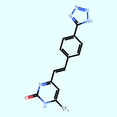 O=c1nc(C=Cc2ccc(-c3nnn[nH]3)cc2)cc(C(F)(F)F)[nH]1